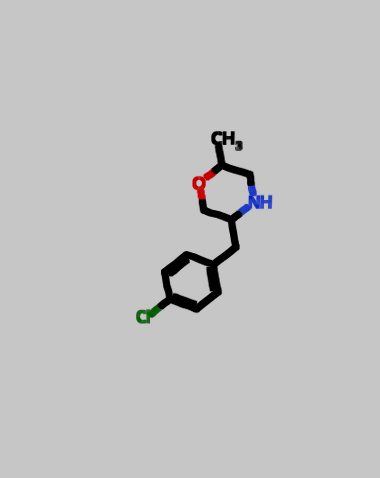 CC1CNC(Cc2ccc(Cl)cc2)CO1